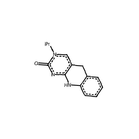 CC(C)n1cc2c(nc1=O)Nc1ccccc1C2